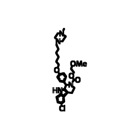 COCCOC(=O)N1CCc2c([nH]c3ccc(Cl)cc23)C1c1ccc(OCCCCCCN2CCN(C)CC2)cc1